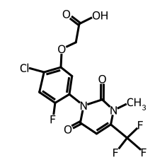 Cn1c(C(F)(F)F)cc(=O)n(-c2cc(OCC(=O)O)c(Cl)cc2F)c1=O